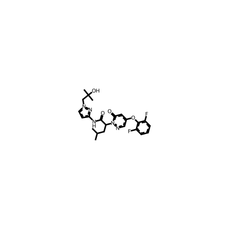 CC(C)CC(C(=O)Nc1ccn(CC(C)(C)O)n1)n1ncc(Oc2c(F)cccc2F)cc1=O